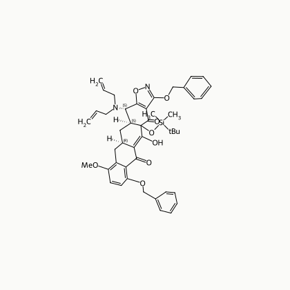 C=CCN(CC=C)[C@@H]1c2onc(OCc3ccccc3)c2C(=O)C2(O[Si](C)(C)C(C)(C)C)C(O)=C3C(=O)c4c(OCc5ccccc5)ccc(OC)c4C[C@H]3C[C@@H]12